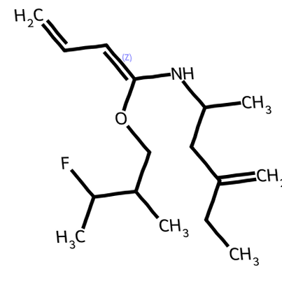 C=C/C=C(/NC(C)CC(=C)CC)OCC(C)C(C)F